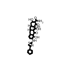 NC(=O)C1=C(O)C[C@@H]2C[C@@H]3Cc4ccc(Nc5nc(-c6ccccc6)cs5)c(O)c4C(=O)C3=C(O)[C@]2(O)C1=O